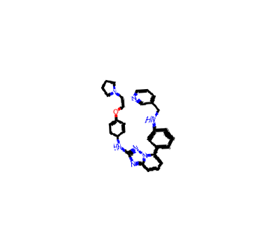 C1=CC(Nc2nc3cccc(-c4cccc(NCc5cccnc5)c4)n3n2)CC=C1OCCN1CCCC1